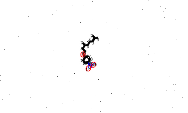 CC(C)=CCCC(C)CCOc1ccc([N+](=O)[O-])cc1